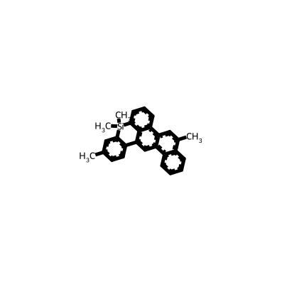 Cc1ccc2c(c1)[Si](C)(C)c1cccc3c1c-2cc1c2ccccc2c(C)cc31